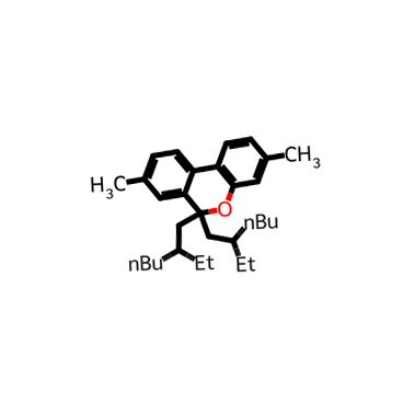 CCCCC(CC)CC1(CC(CC)CCCC)Oc2cc(C)ccc2-c2ccc(C)cc21